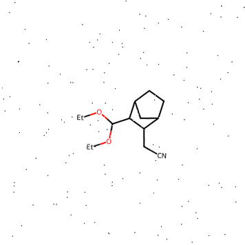 CCOC(OCC)C1C2CCC(C2)C1CC#N